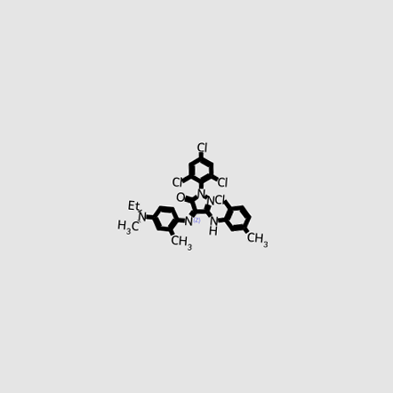 CCN(C)c1ccc(/N=C2\C(=O)N(c3c(Cl)cc(Cl)cc3Cl)N=C2Nc2cc(C)ccc2Cl)c(C)c1